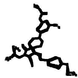 COc1ccc(CCN2C(=O)N(CC(C)C)C(=O)C23CCN(c2cc(C)cc(CC(=O)O)c2)CC3)cc1